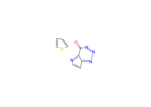 O=C1N=NN=C2C=CN=C12.c1ccsc1